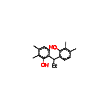 CCC(c1ccc(C)c(C)c1O)c1ccc(C)c(C)c1O